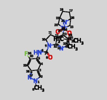 Cn1cc2cc(NC(=O)N3CCc4c(N5CC6CCC(C5)N6C(=O)OC(C)(C)C)ccnc43)c(F)cc2n1